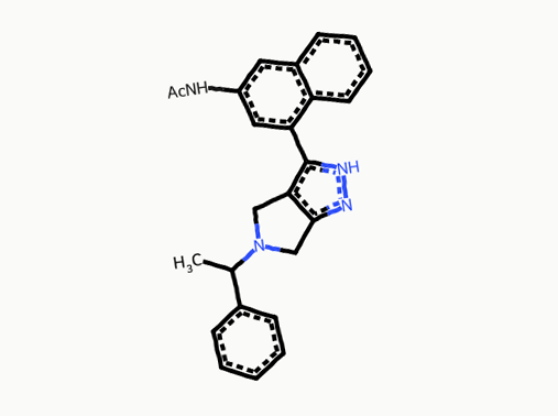 CC(=O)Nc1cc(-c2[nH]nc3c2CN(C(C)c2ccccc2)C3)c2ccccc2c1